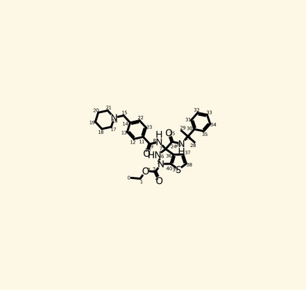 CCOC(=O)N1NC(NC(=O)c2ccc(CN3CCCCC3)cc2)(C(=O)NC(C)(C)c2ccccc2)c2ccsc21